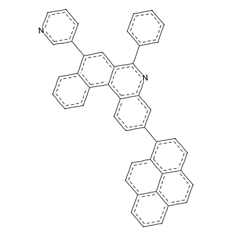 c1ccc(-c2nc3cc(-c4ccc5ccc6cccc7ccc4c5c67)ccc3c3c2cc(-c2cccnc2)c2ccccc23)cc1